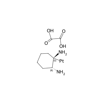 N[C@@H]1CCCC[C@]1(N)[Pt].O=C(O)C(=O)O